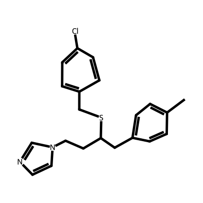 Cc1ccc(CC(CCn2ccnc2)SCc2ccc(Cl)cc2)cc1